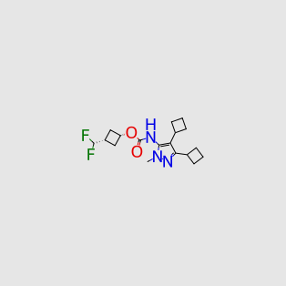 Cn1nc(C2CCC2)c(C2CCC2)c1NC(=O)O[C@H]1C[C@@H](C(F)F)C1